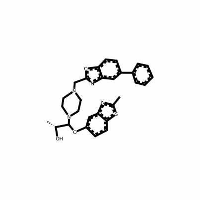 Cc1nc2cc(OC([C@@H](C)O)N3CCN(Cc4nc5cc(-c6ccccc6)ccc5o4)CC3)ccc2s1